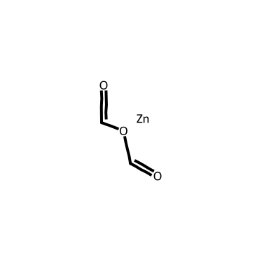 O=COC=O.[Zn]